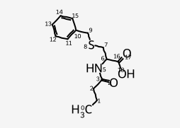 CCCC(=O)NC(CSCc1ccccc1)C(=O)O